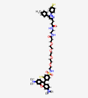 CCN(CC)c1ccc2c(-c3ccc(S(=O)(=O)NCCOCCOCCOCCOCCC(=O)NCCNC(=O)CCc4cc(-c5ccc(C)cc5)n(-c5ccc(S)cc5)n4)cc3S)c3ccc(=[N+](CC)CC)cc-3oc2c1